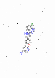 N#Cc1ccc(Oc2ccc(CCNc3ncnc4c(F)cccc34)cc2)nc1